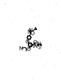 CC(CC#N)Oc1cc(Oc2ccc(-c3nnc(C4CC4)o3)cc2)cc(C(=O)Nc2nccs2)c1